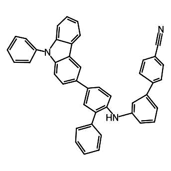 N#Cc1ccc(-c2cccc(Nc3ccc(-c4ccc5c(c4)c4ccccc4n5-c4ccccc4)cc3-c3ccccc3)c2)cc1